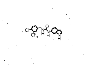 O=C(NCc1ccc(Cl)c(C(F)(F)F)c1)Nc1ccc2cc[nH]c2c1